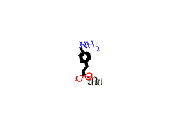 CC(C)(C)OC(=O)CCc1ccc(CN)cc1